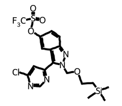 C[Si](C)(C)CCOCn1nc2ccc(OS(=O)(=O)C(F)(F)F)cc2c1-c1cc(Cl)ncn1